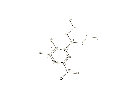 CCCN(CCC)c1cc([N+](=O)[O-])cc(C)[n+]1[O-]